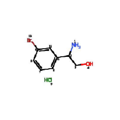 Cl.NC(CO)c1cccc(Br)c1